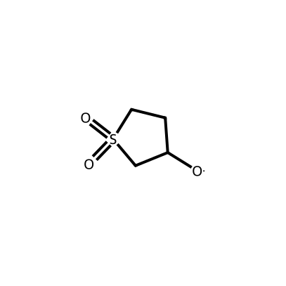 [O]C1CCS(=O)(=O)C1